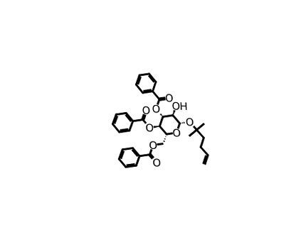 C=CCCC(C)(C)O[C@@H]1O[C@H](COC(=O)c2ccccc2)[C@@H](OC(=O)c2ccccc2)[C@H](OC(=O)c2ccccc2)[C@H]1O